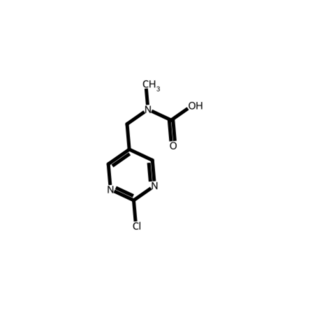 CN(Cc1cnc(Cl)nc1)C(=O)O